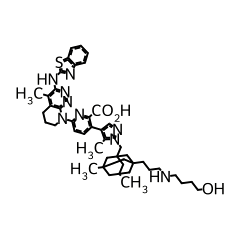 Cc1c(Nc2nc3ccccc3s2)nnc2c1CCCN2c1ccc(-c2cnn(CC34CC5(C)CC(C)(CC(CCCNCCCCO)(C5)C3)C4)c2C)c(C(=O)O)n1